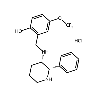 Cl.Oc1ccc(OC(F)(F)F)cc1CN[C@H]1CCCN[C@H]1c1ccccc1